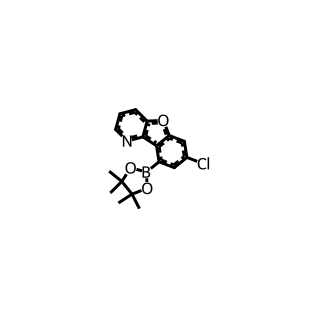 CC1(C)OB(c2cc(Cl)cc3oc4cccnc4c23)OC1(C)C